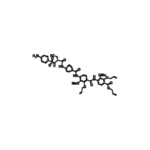 C=CCOC(=O)c1ccc(NC(=O)c2ccc(NC(=O)c3ccc(NC(=O)[C@H](CC#N)NS(=O)(=O)c4ccc(N)cc4)cc3)c(OC)c2OCC=C)c(OC)c1OCC=C